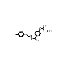 CCC(=NOCCc1ccc(C)cc1)c1ccc(OC(CC)C(=O)O)cc1